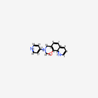 c1cnc2c3c(ccc2c1)CN(c1ccncc1)CO3